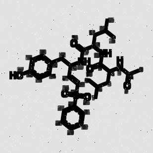 CC(=O)NC(CC(C)C)C(=O)NC(CC(C)C)C(=O)NC(C=CS(=O)(=O)c1ccccc1)Cc1ccc(O)cc1